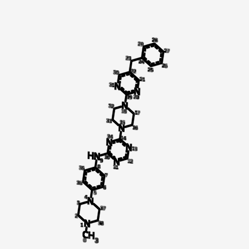 CN1CCN(c2ccc(Nc3ncnc(N4CCN(c5ncc(Cc6ccccc6)cn5)CC4)n3)cc2)CC1